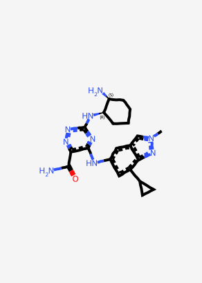 Cn1cc2cc(Nc3nc(N[C@@H]4CCCC[C@@H]4N)nnc3C(N)=O)cc(C3CC3)c2n1